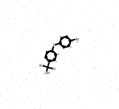 CCC(S)(CC)c1ccc(Sc2ccc(C(C)=O)cc2)cc1